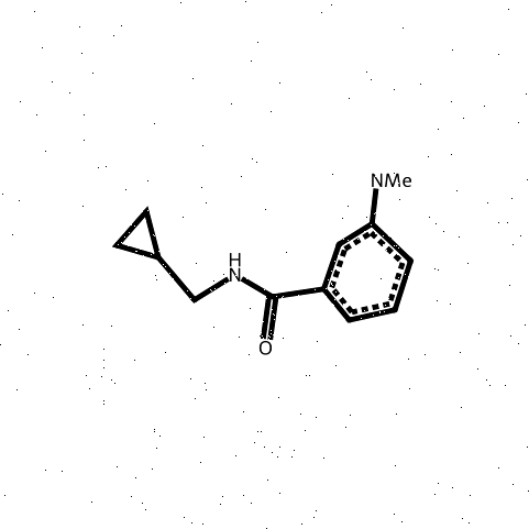 CNc1cccc(C(=O)NCC2CC2)c1